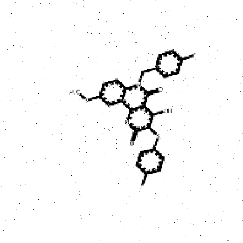 CSc1ccc2c(c1)c1oc(=O)c(Sc3ccc(F)cc3)c(O)c1c(=O)n2Cc1ccc(F)cc1